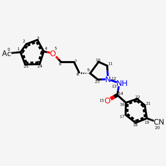 CC(=O)c1ccc(OCCC[C@@H]2CCN(NC(=O)c3ccc(C#N)cc3)C2)cc1